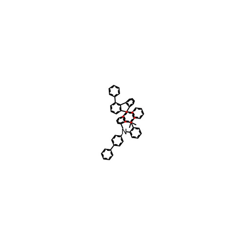 CC1(C)c2ccccc2C2(c3ccccc3-c3c(-c4ccccc4)cccc32)c2cccc(N(c3ccc(-c4ccccc4)cc3)c3ccccc3-c3ccccc3)c21